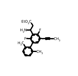 CC#Cc1cc(-c2c(C)cccc2C)c(F)c(C(N)CC(=O)OCC)c1F